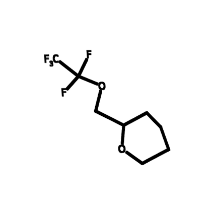 FC(F)(F)C(F)(F)OCC1CCCCO1